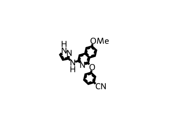 COc1ccc2c(Oc3cccc(C#N)c3)nc(Nc3cc[nH]n3)cc2c1